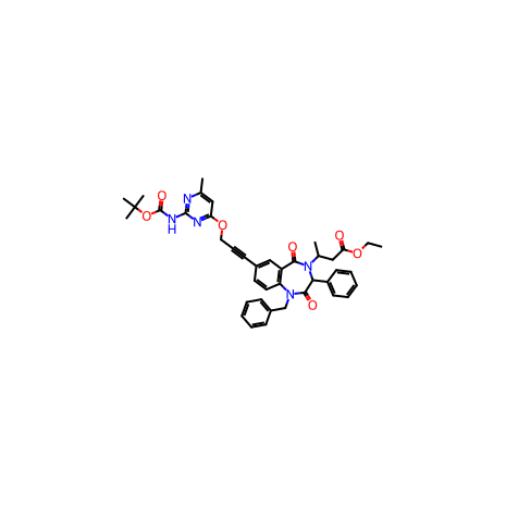 CCOC(=O)CC(C)N1C(=O)c2cc(C#CCOc3cc(C)nc(NC(=O)OC(C)(C)C)n3)ccc2N(Cc2ccccc2)C(=O)C1c1ccccc1